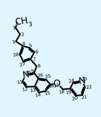 CCCCc1ccc(Cc2nccc3ccc(OCc4cccnc4)cc23)cc1